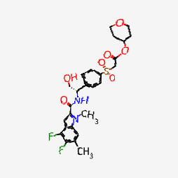 Cc1cc2c(cc(C(=O)N[C@H](CO)c3ccc(S(=O)(=O)CC(=O)OC4CCOCC4)cc3)n2C)c(F)c1F